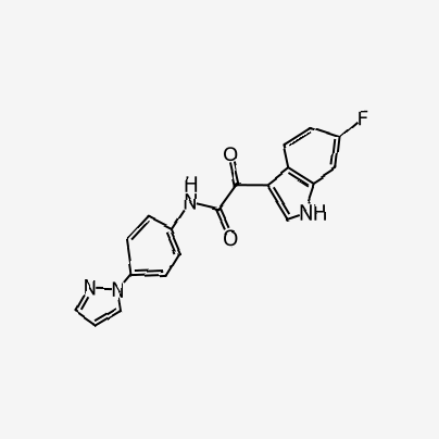 O=C(Nc1ccc(-n2cccn2)cc1)C(=O)c1c[nH]c2cc(F)ccc12